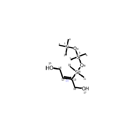 C[Si](C)(C)O[Si](C)(C)O[Si](C)(C)/C(=C\CO)CO